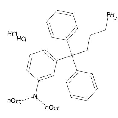 CCCCCCCCN(CCCCCCCC)c1cccc(C(CCCP)(c2ccccc2)c2ccccc2)c1.Cl.Cl